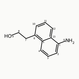 Nc1cccc2c(CCO)cccc12